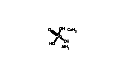 [AlH3].[CaH2].[O]=[Sb]([OH])([OH])[OH]